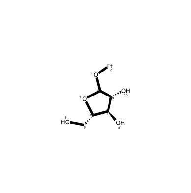 CCOC1O[C@@H](CO)[C@H](O)[C@H]1O